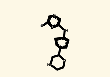 Clc1cncc(Nc2ccc(C3CNCCO3)cc2)n1